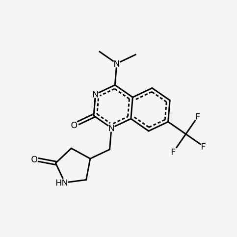 CN(C)c1nc(=O)n(CC2CNC(=O)C2)c2cc(C(F)(F)F)ccc12